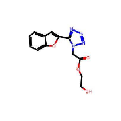 O=C(Cn1nnnc1-c1cc2ccccc2o1)OCCO